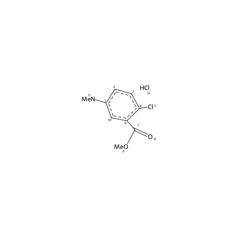 CNc1ccc(Cl)c(C(=O)OC)c1.Cl